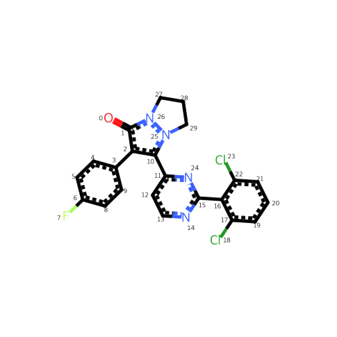 O=c1c(-c2ccc(F)cc2)c(-c2ccnc(-c3c(Cl)cccc3Cl)n2)n2n1CCC2